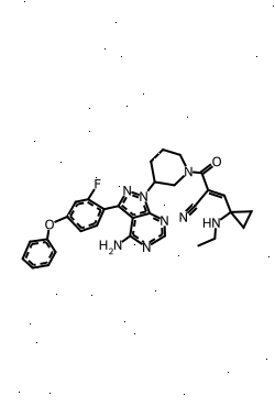 CCNC1(C=C(C#N)C(=O)N2CCCC(n3nc(-c4ccc(Oc5ccccc5)cc4F)c4c(N)ncnc43)C2)CC1